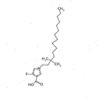 CCCCCCCCCCCCC(C)(C)CCn1cc(F)c(C(=O)O)c1